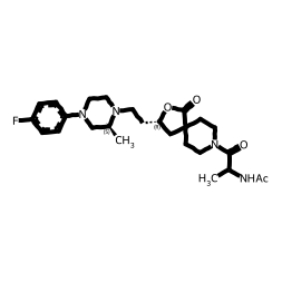 CC(=O)NC(C)C(=O)N1CCC2(CC1)C[C@H](CCN1CCN(c3ccc(F)cc3)C[C@@H]1C)OC2=O